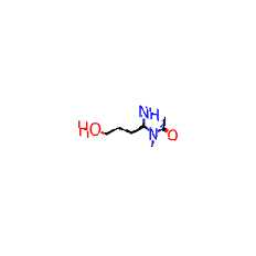 CC(=O)N(C)C(N)CCCO